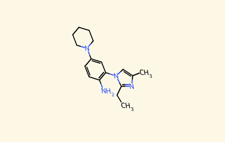 CCc1nc(C)cn1-c1cc(N2CCCCC2)ccc1N